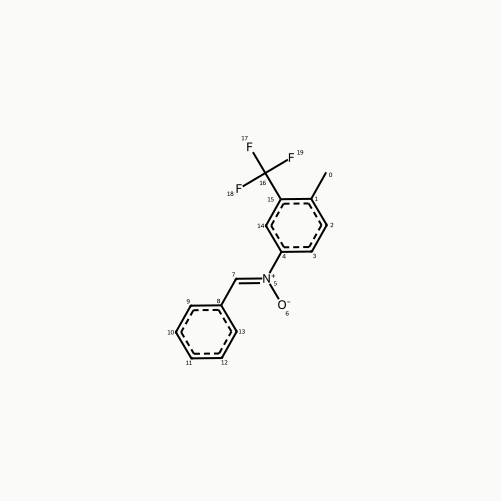 Cc1ccc([N+]([O-])=Cc2ccccc2)cc1C(F)(F)F